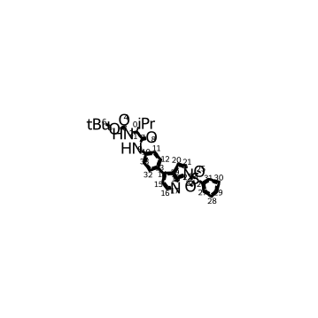 CC(C)[C@H](NC(=O)OC(C)(C)C)C(=O)Nc1ccc(-c2ccnc3c2ccn3S(=O)(=O)c2ccccc2)cc1